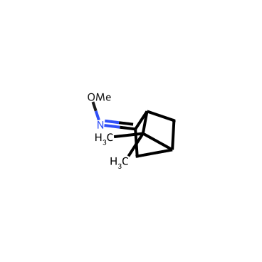 CO/N=C1/CC2CC1C2(C)C